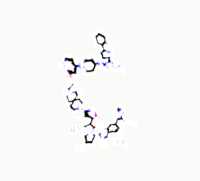 Cc1ncsc1-c1ccc([C@H](C)NC(=O)[C@@H]2C[C@@H](O)CN2C(=O)C(c2cc(N3CCC4(CCN(CCOc5cc(N6CCC(n7nc(N)c8nnc(C9=C(O)C=CCC9)cc87)CC6)ccn5)CC4)CC3)no2)C(C)C)cc1